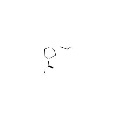 CCOC(=O)CC[C@@H]1CN(C(=O)OC(C)(C)C)CCO1